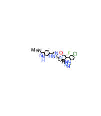 CNc1n[nH]c2cc(-c3cnc([C@@H]4CC[C@H]5CC(c6c(-n7cnnn7)ccc(Cl)c6F)=CC(=O)N54)[nH]3)ccc12